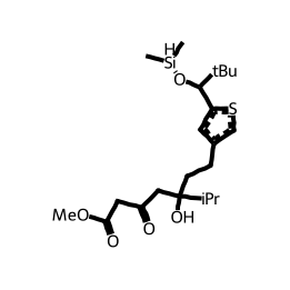 COC(=O)CC(=O)CC(O)(CCc1csc(C(O[SiH](C)C)C(C)(C)C)c1)C(C)C